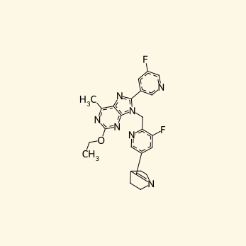 CCOc1nc(C)c2nc(-c3cncc(F)c3)n(Cc3ncc(C4=CN5CCC4CC5)cc3F)c2n1